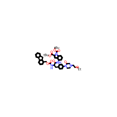 CCOCCN1CCN(c2ccc(CC(NC(=O)OCc3cccc4c3Cc3ccccc3-4)C(=O)Nc3cccc4c3cc(C(=O)OC(C)(C)C)n4C(=O)OC(C)(C)C)cc2)C(=O)C1